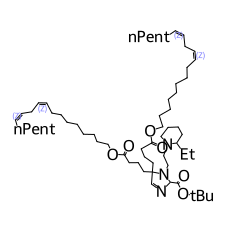 CCCCC/C=C\C/C=C\CCCCCCCCOC(=O)CCCC1(CCCC(=O)OCCCCCCCC/C=C\C/C=C\CCCCC)C=NC(C(=O)OC(C)(C)C)N1CCN1CCCCC1CC